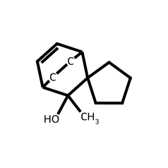 CC1(O)C2C=CC(CC2)C12CCCC2